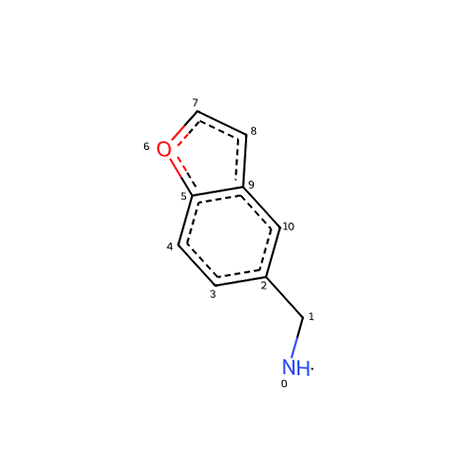 [NH]Cc1ccc2occc2c1